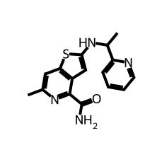 Cc1cc2sc(NC(C)c3ccccn3)cc2c(C(N)=O)n1